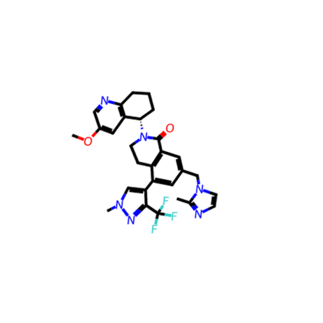 COc1cnc2c(c1)[C@@H](N1CCc3c(cc(Cn4ccnc4C)cc3-c3cn(C)nc3C(F)(F)F)C1=O)CCC2